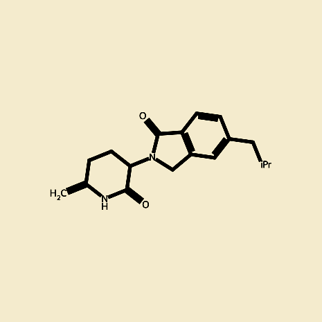 C=C1CCC(N2Cc3cc(CC(C)C)ccc3C2=O)C(=O)N1